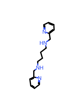 c1ccc(CNCCCCNCc2ccccn2)nc1